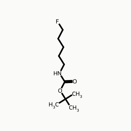 CC(C)(C)OC(=O)NCCCCCF